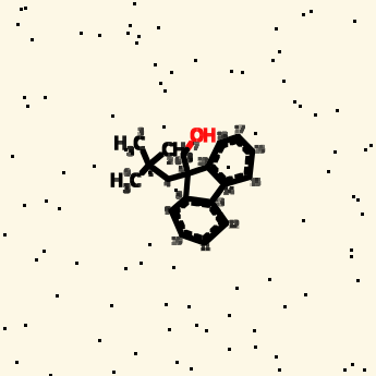 CC(C)(C)CC1(CO)c2ccccc2-c2ccccc21